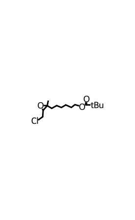 CC(C)(C)C(=O)OCCCCCCC1(C)OC1CCl